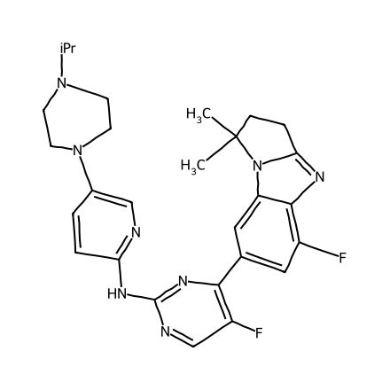 CC(C)N1CCN(c2ccc(Nc3ncc(F)c(-c4cc(F)c5nc6n(c5c4)C(C)(C)CC6)n3)nc2)CC1